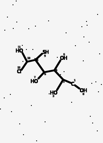 OCC(O)C(O)C(O)C(S)C(O)Cl